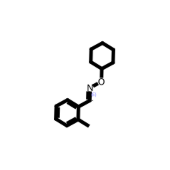 Cc1ccccc1/[C]=N/OC1CCCCC1